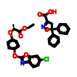 CCOC(=O)[C@@H](C)Oc1ccc(Oc2nc3ccc(Cl)cc3o2)cc1.O=C(O)C1=NOC(c2ccccc2)(c2ccccc2)C1